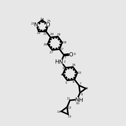 O=C(Nc1ccc(C2CC2NCC2CC2)cc1)c1ccc(-c2cnco2)cc1